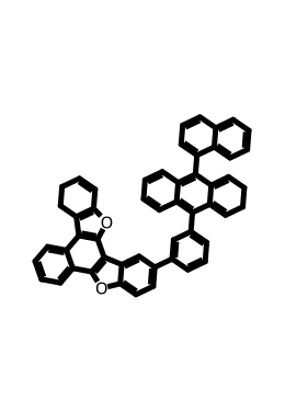 C1=Cc2oc3c(c2CC1)c1ccccc1c1oc2ccc(-c4cccc(-c5c6c(c(-c7cccc8ccccc78)c7ccccc57)=CCCC=6)c4)cc2c13